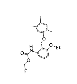 CCOc1cccc(NC(=O)OCF)c1COc1cc(C)c(C)cc1C